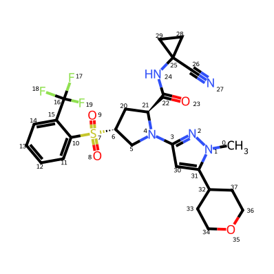 Cn1nc(N2C[C@H](S(=O)(=O)c3ccccc3C(F)(F)F)C[C@H]2C(=O)NC2(C#N)CC2)cc1C1CCOCC1